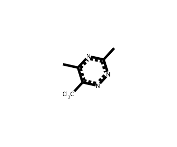 Cc1nnc(C(Cl)(Cl)Cl)c(C)n1